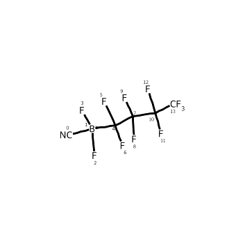 N#C[B-](F)(F)C(F)(F)C(F)(F)C(F)(F)C(F)(F)F